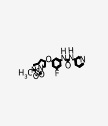 CN1CC2C[C@@H](Oc3cc(F)cc(NC(=O)Nc4cccnc4)c3)CN2S1(=O)=O